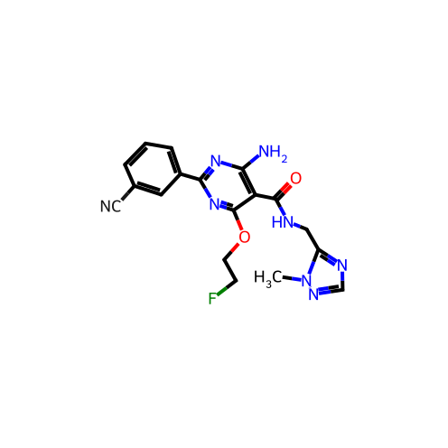 Cn1ncnc1CNC(=O)c1c(N)nc(-c2cccc(C#N)c2)nc1OCCF